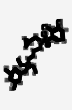 CC[N+](CC)(CCCCN(CC1CC1)S(=O)(=O)c1cccc(Cl)c1Cl)Cc1cc(C)cc(C)c1